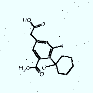 CC(=O)c1cc(CC(=O)O)cc(I)c1C1(Cl)CCCCC1